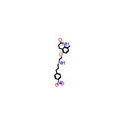 Cc1ccc(OCCNCCCc2ccc([N+](=O)[O-])cc2)c2c1NC(=O)CC2